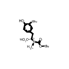 CN(C(=O)OC(C)(C)C)[C@@H](Cc1ccc(O)c(C(C)(C)C)c1)C(=O)O